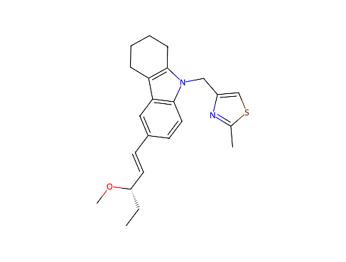 CC[C@@H](/C=C/c1ccc2c(c1)c1c(n2Cc2csc(C)n2)CCCC1)OC